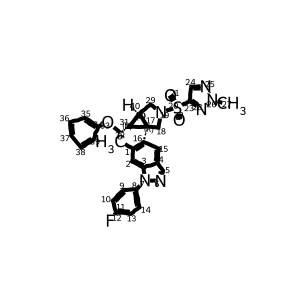 Cc1cc2c(cnn2-c2ccc(F)cc2)cc1[C@@]12CN(S(=O)(=O)c3cnn(C)n3)C[C@@H]1[C@H]2COc1ccccc1